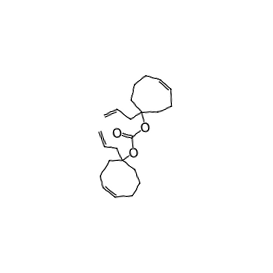 C=CCC1(OC(=O)OC2(CC=C)CC/C=C\CCC2)CC/C=C\CCC1